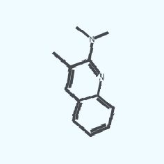 Cc1cc2ccccc2nc1N(C)C